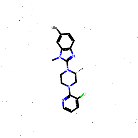 C[C@@H]1CN(c2ncccc2Cl)CCN1c1nc2ccc(C(C)(C)C)cc2n1C